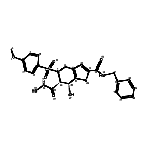 COc1ccc(S(=O)(=O)N2Cc3cc(C(=O)NCc4ccccc4)sc3[C@H](O)[C@@H]2C(=O)NO)cc1